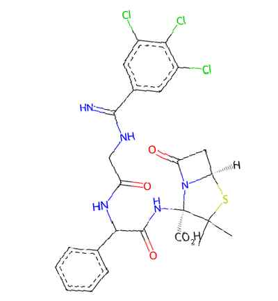 CC1(C)S[C@@H]2CC(=O)N2[C@@]1(NC(=O)C(NC(=O)CNC(=N)c1cc(Cl)c(Cl)c(Cl)c1)c1ccccc1)C(=O)O